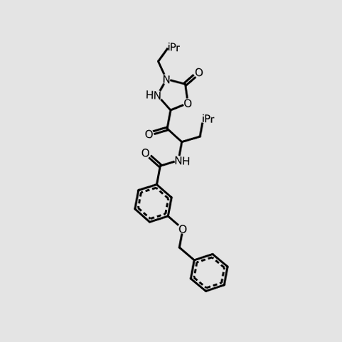 CC(C)CC(NC(=O)c1cccc(OCc2ccccc2)c1)C(=O)C1NN(CC(C)C)C(=O)O1